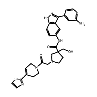 Nc1cc(-c2n[nH]c3ccc(NC(=O)C4(CO)CCN(CC(=O)N5CC=C(c6nccs6)CC5)C4)cc23)ccn1